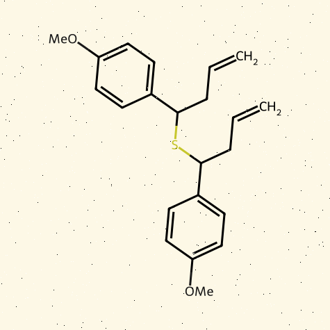 C=CCC(SC(CC=C)c1ccc(OC)cc1)c1ccc(OC)cc1